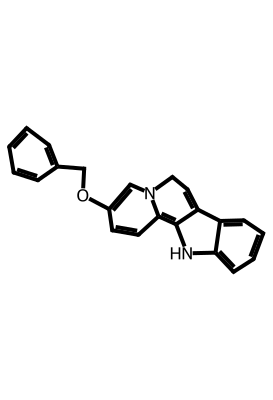 C1=CC2=c3[nH]c4ccccc4c3=CCN2C=C1OCc1ccccc1